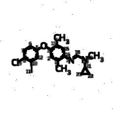 Cc1cc(Oc2ccc(Cl)c(I)c2)c(C)cc1N=CN(C)C1CC1